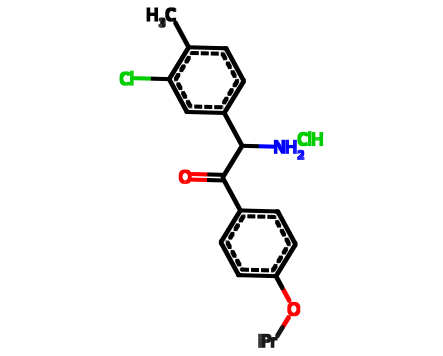 Cc1ccc(C(N)C(=O)c2ccc(OC(C)C)cc2)cc1Cl.Cl